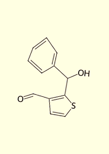 O=Cc1ccsc1C(O)c1ccccc1